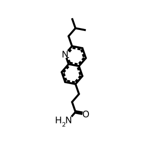 CC(C)Cc1ccc2cc(CCC(N)=O)ccc2n1